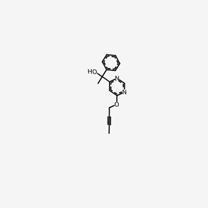 CC#CCOc1cc(C(C)(O)c2ccccc2)ncn1